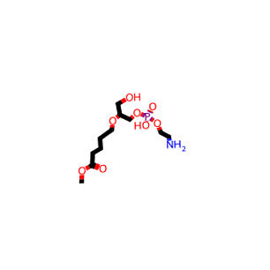 COC(=O)CCCCOC(CO)COP(=O)(O)OCCN